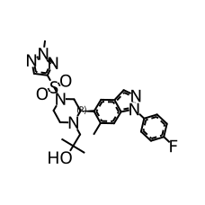 Cc1cc2c(cnn2-c2ccc(F)cc2)cc1[C@@H]1CN(S(=O)(=O)c2cnn(C)n2)CCN1CC(C)(C)O